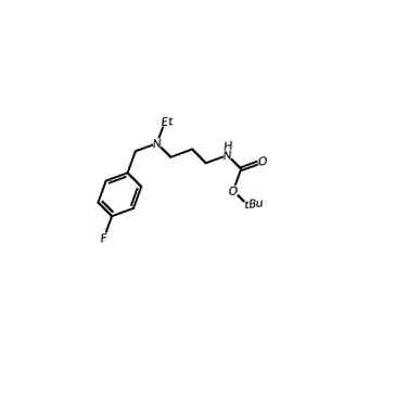 CCN(CCCNC(=O)OC(C)(C)C)Cc1ccc(F)cc1